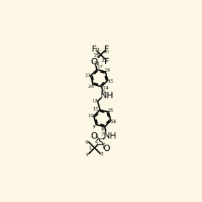 CC(C)(C)S(=O)(=O)Nc1ccc(CNc2ccc(OC(F)(F)F)cc2)cc1